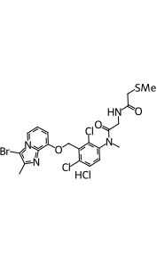 CSCC(=O)NCC(=O)N(C)c1ccc(Cl)c(COc2cccn3c(Br)c(C)nc23)c1Cl.Cl